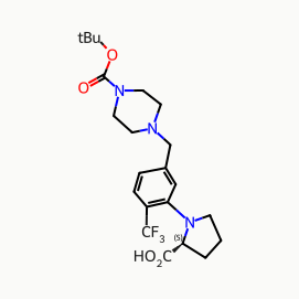 CC(C)(C)OC(=O)N1CCN(Cc2ccc(C(F)(F)F)c(N3CCC[C@H]3C(=O)O)c2)CC1